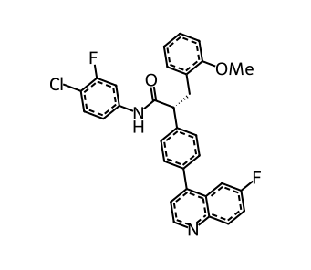 COc1ccccc1C[C@@H](C(=O)Nc1ccc(Cl)c(F)c1)c1ccc(-c2ccnc3ccc(F)cc23)cc1